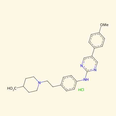 COc1ccc(-c2cnc(Nc3ccc(CCN4CCC(C(=O)O)CC4)cc3)nc2)cc1.Cl